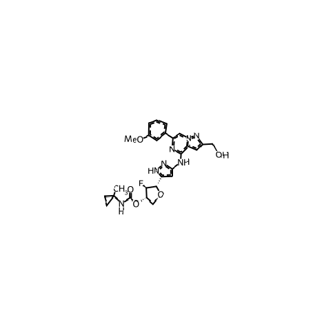 COc1cccc(-c2cn3nc(CO)cc3c(Nc3cc([C@@H]4OC[C@H](OC(=O)NC5(C)CC5)[C@H]4F)[nH]n3)n2)c1